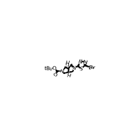 CC(C)(C)OC(=O)N1C[C@@H]2CN(c3nnc(Br)s3)C[C@@H]2C1